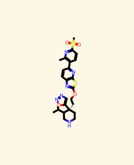 Cc1nc(S(C)(=O)=O)ccc1-c1ccc2nc(OCC[C@]3(c4cnno4)CCNCC3C(C)C)sc2n1